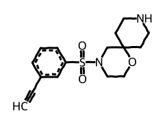 C#Cc1cccc(S(=O)(=O)N2CCOC3(CCNCC3)C2)c1